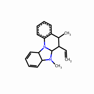 C=CC1C(C)c2ccccc2N2C3C=CC=CC3N(C)C12